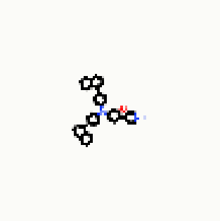 C1=Cc2c(oc3cc(N(c4ccc(-c5cccc6ccccc56)cc4)c4ccc(-c5cccc6ccccc56)cc4)ccc23)CN1